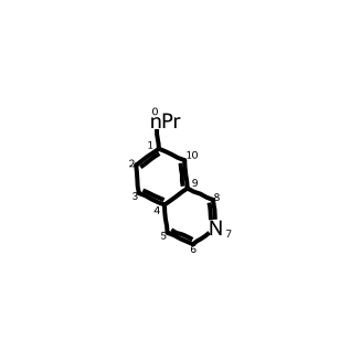 CCCc1ccc2ccncc2c1